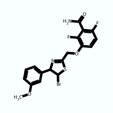 COc1cccc(C2N=C(COc3ccc(F)c(C(N)=O)c3F)SC2Br)c1